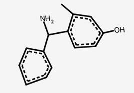 Cc1cc(O)ccc1C(N)c1ccccc1